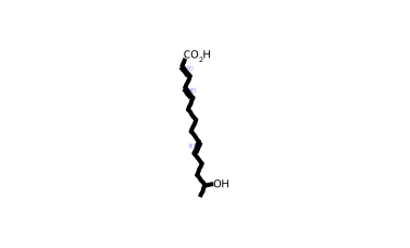 CC(O)CC/C=C/CCC/C=C/C=C/C(=O)O